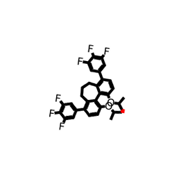 CC(C)Oc1ccc(-c2cc(F)c(F)c(F)c2)c2c1-c1c(OC(C)C)ccc(-c3cc(F)c(F)c(F)c3)c1CCC2